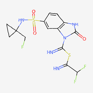 N=C(SC(=N)n1c(=O)[nH]c2ccc(S(=O)(=O)NC3(CF)CC3)cc21)C(F)F